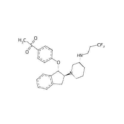 CS(=O)(=O)c1ccc(O[C@H]2c3ccccc3C[C@@H]2N2CCC[C@@H](NCCC(F)(F)F)C2)cc1